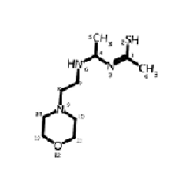 C/C(S)=N/C(C)NCCN1CCOCC1